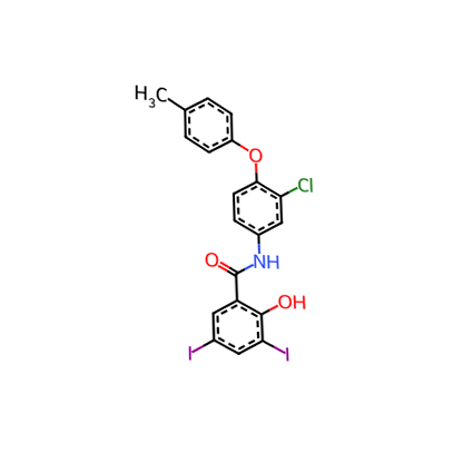 Cc1ccc(Oc2ccc(NC(=O)c3cc(I)cc(I)c3O)cc2Cl)cc1